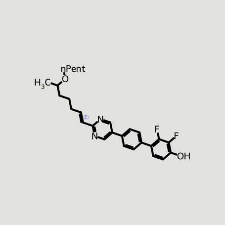 CCCCCOC(C)CCC/C=C/c1ncc(-c2ccc(-c3ccc(O)c(F)c3F)cc2)cn1